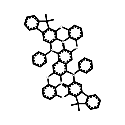 CC1(C)c2ccccc2-c2cc3c4c(c21)Oc1cccc2c1P4(=S)c1c(cc4c5c6c(cc4c1N3c1ccccc1)Oc1cccc3c1P6(=S)c1c(cc4c(c1O3)C(C)(C)c1ccccc1-4)N5c1ccccc1)O2